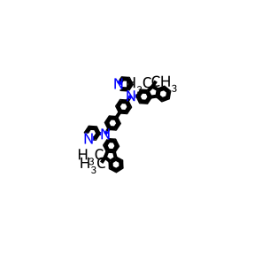 CC1(C)c2ccccc2-c2ccc(N(c3ccc(-c4ccc(N(c5cccnc5)c5ccc6c(c5)C(C)(C)c5ccccc5-6)cc4)cc3)c3cccnc3)cc21